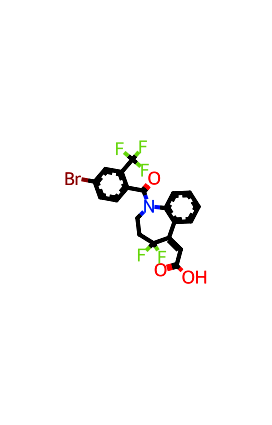 O=C(O)C=C1c2ccccc2N(C(=O)c2ccc(Br)cc2C(F)(F)F)CCC1(F)F